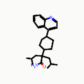 CC(C)CC(CC(C)C)(C(N)=O)C1CCC(c2ccnc3ccccc23)CC1